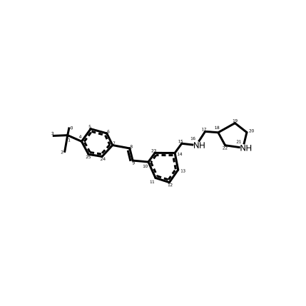 CC(C)(C)c1ccc(C=Cc2cccc(CNCC3CCNC3)c2)cc1